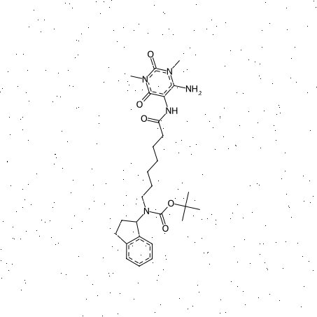 Cn1c(N)c(NC(=O)CCCCCCN(C(=O)OC(C)(C)C)C2CCc3ccccc32)c(=O)n(C)c1=O